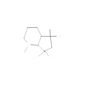 CB1CCCC2C1C(C)(C)CC2(C)C